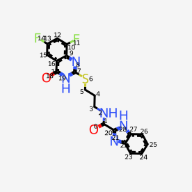 O=C(NCCCSc1nc2c(F)cc(F)cc2c(=O)[nH]1)c1nc2ccccc2[nH]1